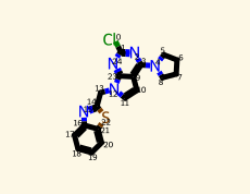 Clc1nc(N2CCCC2)c2ccn(Cc3nc4ccccc4s3)c2n1